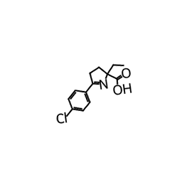 CCC1(C(=O)O)CCC(c2ccc(Cl)cc2)=N1